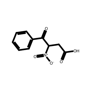 O=C(O)CC(C(=O)c1ccccc1)[N+](=O)[O-]